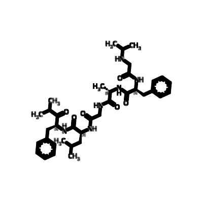 CC(C)C[C@H](NC(=O)CNC(=O)[C@H](C)NC(=O)[C@H](Cc1ccccc1)NC(=O)CNC(C)C)C(=O)N[C@@H](Cc1ccccc1)C(=O)C(C)C